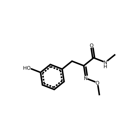 CNC(=O)C(Cc1cccc(O)c1)=NOC